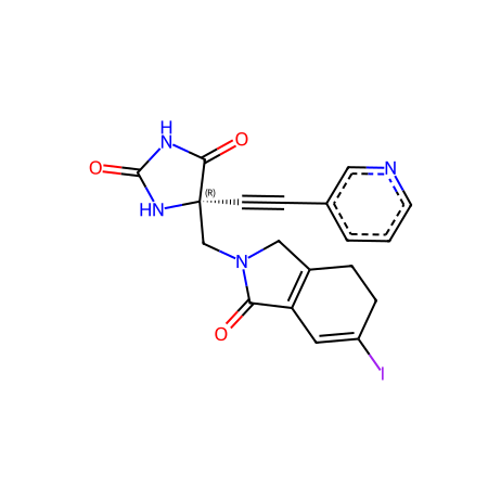 O=C1NC(=O)[C@@](C#Cc2cccnc2)(CN2CC3=C(C=C(I)CC3)C2=O)N1